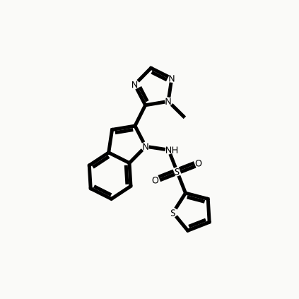 Cn1ncnc1-c1cc2ccccc2n1NS(=O)(=O)c1cccs1